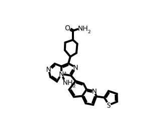 NC(=O)C1CCC(C2=C3C=NC=C[N+]3(N)C(c3ccc4ccc(-c5cccs5)nc4c3)=N2)CC1